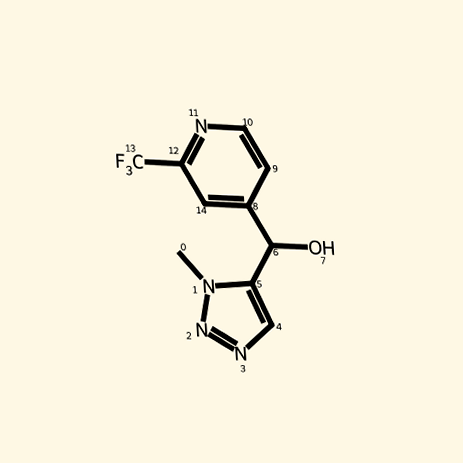 Cn1nncc1C(O)c1ccnc(C(F)(F)F)c1